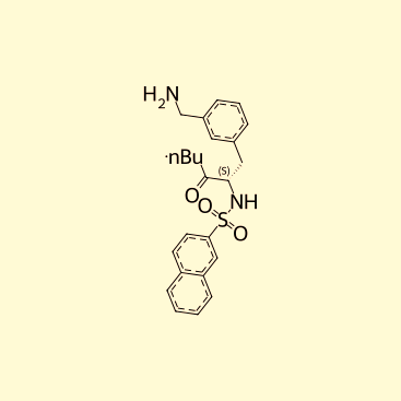 CCC[CH]C(=O)[C@H](Cc1cccc(CN)c1)NS(=O)(=O)c1ccc2ccccc2c1